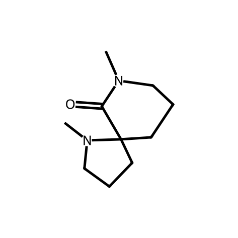 CN1CCCC2(CCCN2C)C1=O